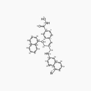 O=C(NO)c1ccc(C=C(CNc2cnc3c(Br)cccc3c2)COc2cccc3ccccc23)cc1